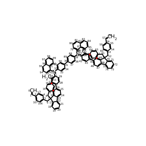 C=Cc1ccc(CC2(Cc3ccc(C=C)cc3)c3ccccc3-c3ccc(-c4ccc(N(c5ccc(-c6ccc(N(c7ccc(-c8ccc9c(c8)C(Cc8ccc(C=C)cc8)(Cc8ccc(C=C)cc8)c8ccccc8-9)cc7)c7cccc8ccccc78)cc6)cc5)c5cccc6ccccc56)cc4)cc32)cc1